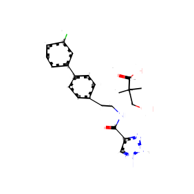 CC(CO)(C[C@@H](Cc1ccc(-c2cccc(Cl)c2)cc1)NC(=O)c1c[nH]nn1)C(=O)O